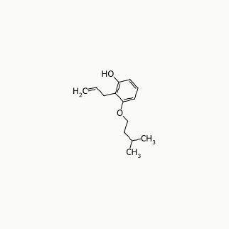 C=CCc1c(O)cccc1OCCC(C)C